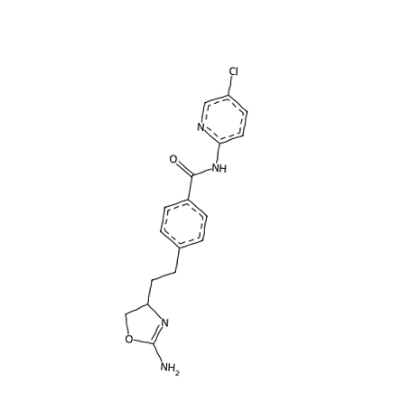 NC1=NC(CCc2ccc(C(=O)Nc3ccc(Cl)cn3)cc2)CO1